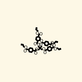 C=CCOC(=O)C1CCC(C(=O)OCC(COC(=O)C2CCC(C(=O)OCC=C)CC2)(COC(=O)C2CCC(C(=O)OCC=C)CC2)COC(=O)C2CCC(C(=O)OCC=C)CC2)CC1